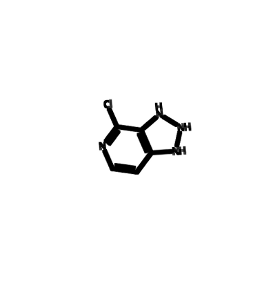 Clc1nccc2c1NNN2